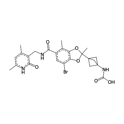 Cc1cc(C)c(CNC(=O)c2cc(Br)c3c(c2C)OC(C)(C24CC(NC(=O)O)(C2)C4)O3)c(=O)[nH]1